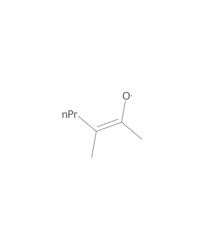 CCCC(C)=C(C)[O]